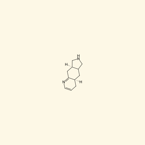 C1=CN=C2C[C@H]3CNCC3C[C@H]2C1